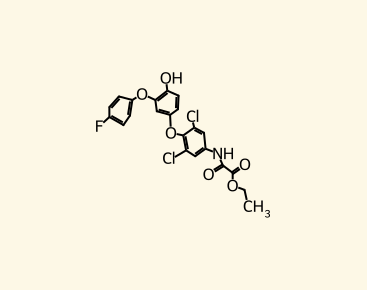 CCOC(=O)C(=O)Nc1cc(Cl)c(Oc2ccc(O)c(Oc3ccc(F)cc3)c2)c(Cl)c1